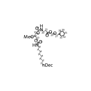 CCCCCCCCCCCCCCCCCCNC(=O)OCC(COC(=O)NCCC(=O)OCOCc1ccccc1)OC